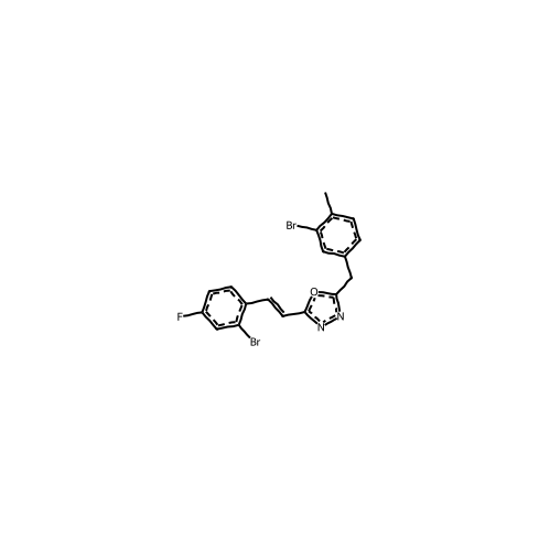 Cc1ccc(Cc2nnc(C=Cc3ccc(F)cc3Br)o2)cc1Br